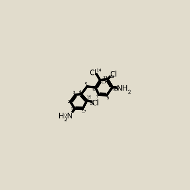 Nc1ccc(Cc2ccc(N)c(Cl)c2Cl)c(Cl)c1